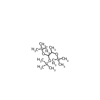 CC(O[Si](C)(C)C)[C](O[Si](C)(C)C)O[Si](C)(C)C